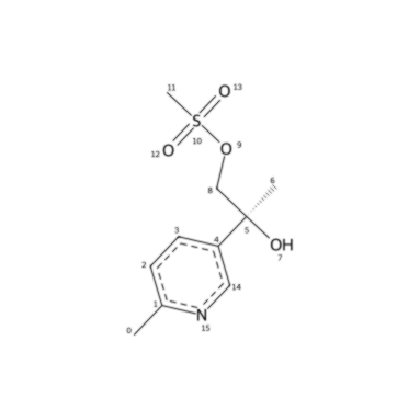 Cc1ccc([C@](C)(O)COS(C)(=O)=O)cn1